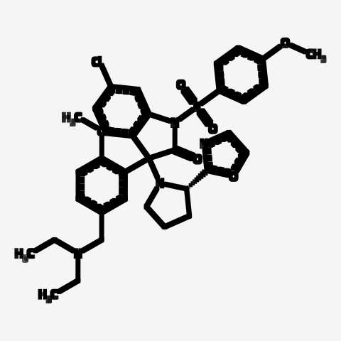 CCN(CC)Cc1ccc(OC)c(C2(N3CCC[C@H]3c3ncco3)C(=O)N(S(=O)(=O)c3ccc(OC)cc3)c3cc(Cl)ccc32)c1